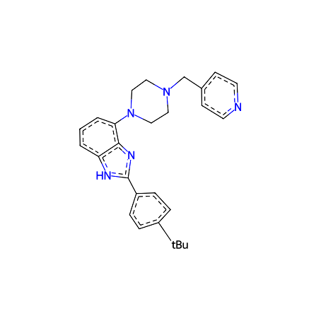 CC(C)(C)c1ccc(-c2nc3c(N4CCN(Cc5ccncc5)CC4)cccc3[nH]2)cc1